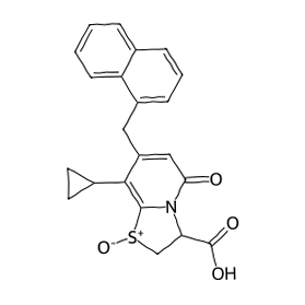 O=C(O)C1C[S+]([O-])c2c(C3CC3)c(Cc3cccc4ccccc34)cc(=O)n21